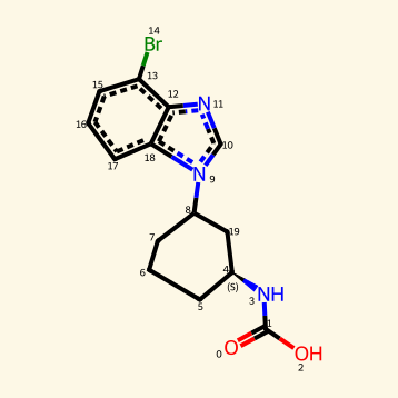 O=C(O)N[C@H]1CCCC(n2cnc3c(Br)cccc32)C1